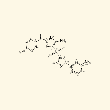 Nc1nc(Nc2ccc(Cl)cc2)nn1S(=O)(=O)c1cn(-c2nccc(C(F)(F)F)n2)cn1